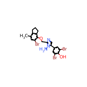 Cc1cc(Br)c(OCc2ncc(-c3cc(Br)c(O)c(Br)c3)n2N)c2c1CCC2